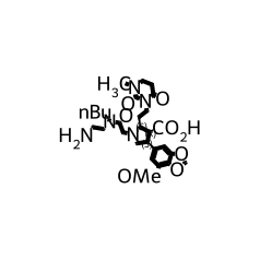 CCCCN(CCN)C(=O)CN1C[C@H](c2cc(OC)c3c(c2)OCO3)[C@@H](C(=O)O)[C@@H]1CCN1C(=O)CCN(C)C1=O